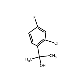 CC(C)(O)c1ccc(F)cc1Cl